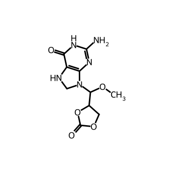 COC(C1COC(=O)O1)N1CNc2c1nc(N)[nH]c2=O